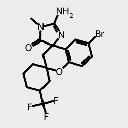 CN1C(=O)C2(CC3(CCCC(C(F)(F)F)C3)Oc3ccc(Br)cc32)N=C1N